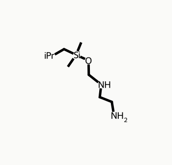 CC(C)C[Si](C)(C)OCNCCN